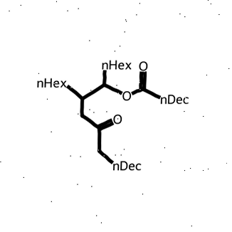 CCCCCCCCCCCC(=O)CC(CCCCCC)C(CCCCCC)OC(=O)CCCCCCCCCC